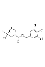 O=C(OCc1cc(Cl)c(Cl)c(Cl)c1)C(CI)CC(Cl)(Cl)Cl